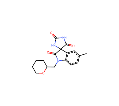 Cc1ccc2c(c1)C1(NC(=O)NC1=O)C(=O)N2CC1CCCCO1